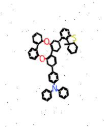 CC12C=CC=CC1Sc1cccc(C3CCC4=C(C3)OC3CC=CC=C3c3ccccc3OC3=C4C=CC(c4ccc(N(c5ccccc5)c5ccccc5)cc4)C3)c12